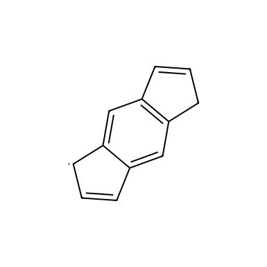 [CH]1C=Cc2cc3c(cc21)C=CC3